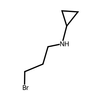 BrCCCNC1CC1